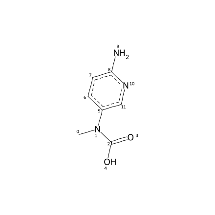 CN(C(=O)O)c1ccc(N)nc1